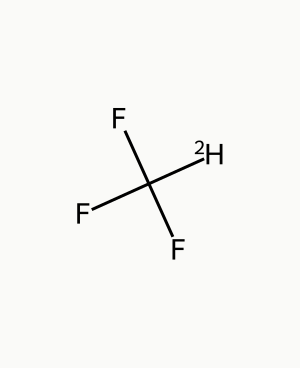 [2H]C(F)(F)F